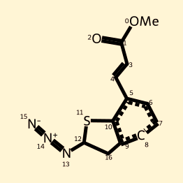 COC(=O)C=Cc1cccc2c1SC(N=[N+]=[N-])C2